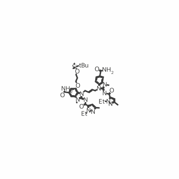 CCn1nc(C)cc1C(=O)/N=c1\n(C)c2cc(C(N)=O)ccc2n1C/C=C/Cn1/c(=N/C(=O)c2cc(C)nn2CC)n(C)c2cc(C(N)=O)cc(OCCCO[Si](C)(C)C(C)(C)C)c21